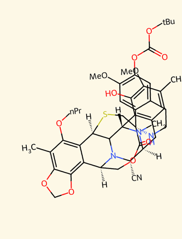 CCCOc1c(C)c2c(c3c1[C@H]1SC[C@]4(NCCc5cc(OC(=O)OC(C)(C)C)c(OC)cc54)C(=O)OC[C@@H]3N3C1[C@@H]1c4c(cc(C)c(OC)c4O)C[C@@H]([C@@H]3C#N)N1C)OCO2